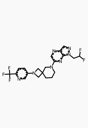 FC(F)Cn1ncc2ncc(N3CCCC4(CN(c5ccc(C(F)(F)F)nc5)C4)C3)nc21